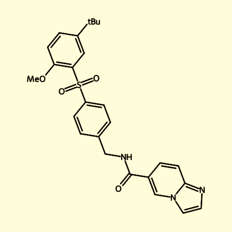 COc1ccc(C(C)(C)C)cc1S(=O)(=O)c1ccc(CNC(=O)c2ccc3nccn3c2)cc1